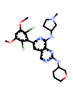 COc1cc(OC)c(Cl)c(-c2cc3cnc(NC4CCCOC4)nc3c(NC3CCN(C)C3)n2)c1Cl